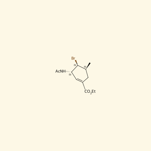 CCOC(=O)C1=C[C@H](NC(C)=O)[C@@H](Br)[C@@H](C)C1